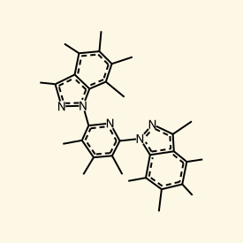 Cc1c(-n2nc(C)c3c(C)c(C)c(C)c(C)c32)nc(-n2nc(C)c3c(C)c(C)c(C)c(C)c32)c(C)c1C